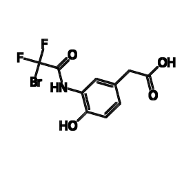 O=C(O)Cc1ccc(O)c(NC(=O)C(F)(F)Br)c1